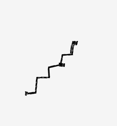 FCCCCNCC=P